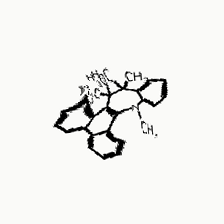 CN1c2ccccc2C(C)(C)C(C)(C)c2c1c1ccccc1c1ccccc21